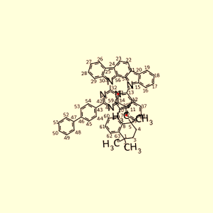 CC1(C)CCC(C)(C)c2c(-c3ccc(-n4c5ccccc5c5ccc6c7ccccc7n(-c7nc(-c8ccccc8)nc(-c8ccc(-c9ccccc9)cc8)n7)c6c54)cc3)cccc21